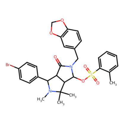 Cc1ccccc1S(=O)(=O)OC1C2C(C(=O)N1Cc1ccc3c(c1)OCO3)C(c1ccc(Br)cc1)N(C)C2(C)C